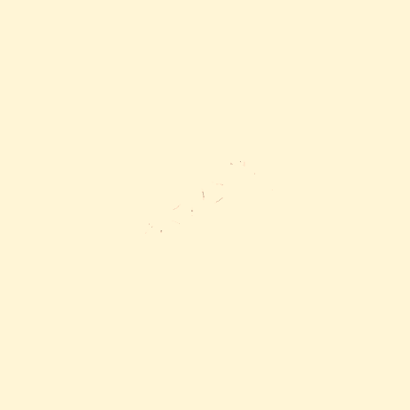 CCOC(=O)C(CCc1ccc(-c2ccc(-c3coc(CC)n3)cc2)cc1)(NC(C)=O)C(=O)OCC